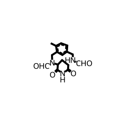 Cc1ccc(CNC=O)cc1CN(C=O)C1CCC(=O)NC1=O